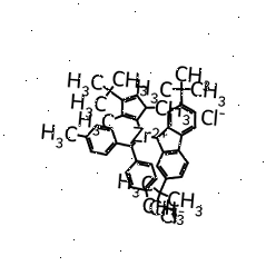 CC1=[C]([Zr+2](=[C](c2ccc(C)cc2)c2ccc(C)cc2)[CH]2c3cc(C(C)(C)C)ccc3-c3ccc(C(C)(C)C)cc32)C(C)C=C1C(C)(C)C.[Cl-].[Cl-]